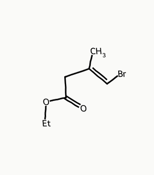 CCOC(=O)CC(C)=CBr